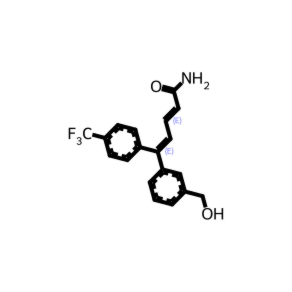 NC(=O)/C=C/C=C(\c1ccc(C(F)(F)F)cc1)c1cccc(CO)c1